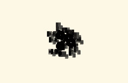 Cc1c(C)c(C)c2c(c1C)c(C)c(C)c1c3c(C)c(C)c(C)c(C)c3n(-c3ccc(N(C)C)cc3)c21